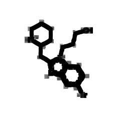 OCCCn1c(CC2CCCCN2)nc2cc(Br)ccc21